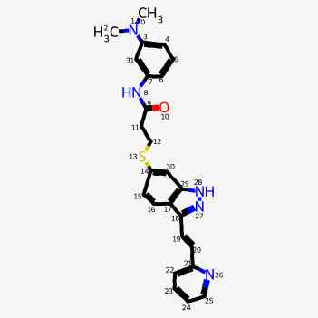 CN(C)c1cccc(NC(=O)CCSc2ccc3c(/C=C/c4ccccn4)n[nH]c3c2)c1